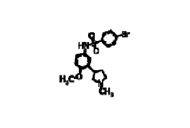 COc1ccc(NS(=O)(=O)c2ccc(Br)cc2)cc1C1CCN(C)C1